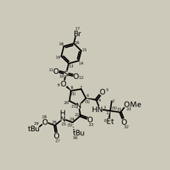 CC[C@](C)(NC(=O)[C@@H]1C[C@H](OS(=O)(=O)c2ccc(Br)cc2)CN1C(=O)[C@@H](NC(=O)OC(C)(C)C)C(C)(C)C)C(=O)OC